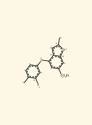 CCOC(=O)c1cc(Oc2ccc(C)c(F)c2)c2cc(C)oc2c1